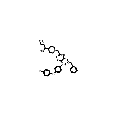 CCCC(=N)C1CCN(CC(=O)N[C@@H](COCc2ccccc2)C(=O)Nc2ccc(Oc3ccc(F)cc3)cc2)CC1